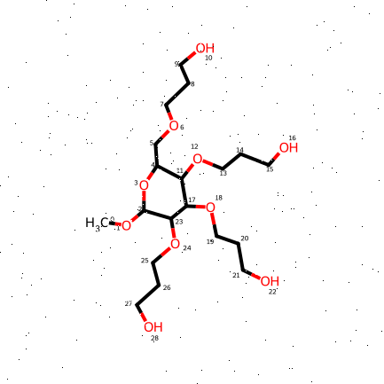 COC1OC(COCCCO)C(OCCCO)C(OCCCO)C1OCCCO